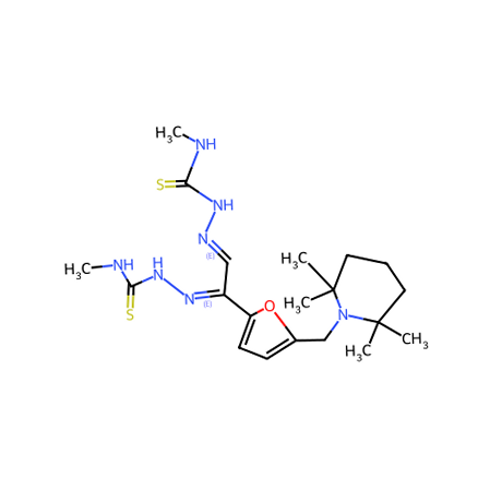 CNC(=S)N/N=C/C(=N\NC(=S)NC)c1ccc(CN2C(C)(C)CCCC2(C)C)o1